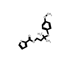 COc1ccc(SC(C)(C)CCOC(=O)c2cccs2)cc1